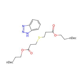 CCCCCCCCCCCCOC(=O)CCSCCC(=O)OCCCCCCCCCCCC.c1ccc2[nH]nnc2c1